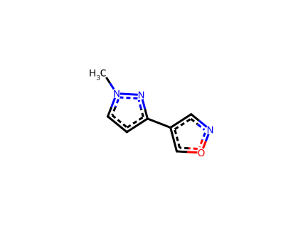 Cn1ccc(-c2cnoc2)n1